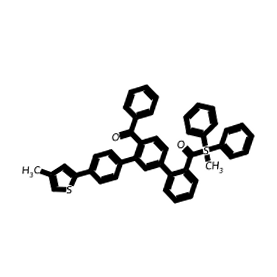 Cc1csc(-c2ccc(-c3cc(-c4ccccc4C(=O)S(C)(c4ccccc4)c4ccccc4)ccc3C(=O)c3ccccc3)cc2)c1